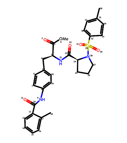 COC(=O)[C@H](Cc1ccc(NC(=O)c2ccccc2C)cc1)NC(=O)[C@@H]1CCCN1S(=O)(=O)c1ccc(C)cc1